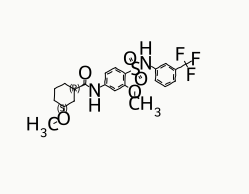 COc1cc(NC(=O)[C@@H]2CCC[C@H](OC)C2)ccc1S(=O)(=O)Nc1cccc(C(F)(F)F)c1